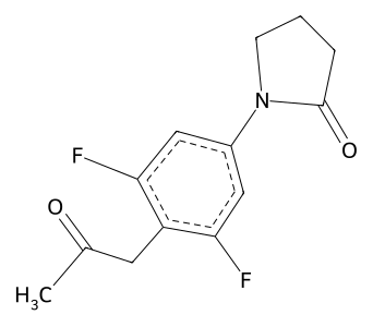 CC(=O)Cc1c(F)cc(N2CCCC2=O)cc1F